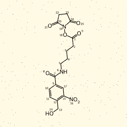 O=C(CCCCNC(=O)c1ccc(CO)c([N+](=O)[O-])c1)ON1C(=O)CCC1=O